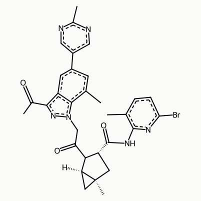 CC(=O)c1nn(CC(=O)C2[C@H](C(=O)Nc3nc(Br)ccc3C)C[C@@]3(C)C[C@@H]23)c2c(C)cc(-c3cnc(C)nc3)cc12